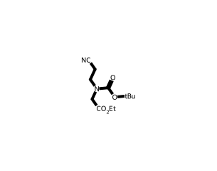 CCOC(=O)CN(CCC#N)C(=O)OC(C)(C)C